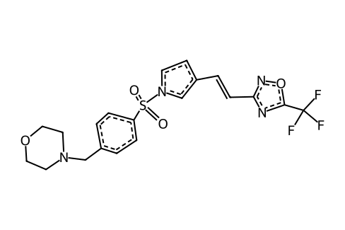 O=S(=O)(c1ccc(CN2CCOCC2)cc1)n1ccc(C=Cc2noc(C(F)(F)F)n2)c1